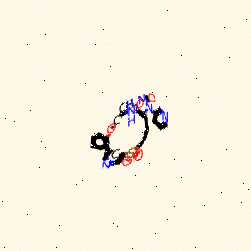 C[C@@H]1COc2ccccc2-c2cncc(c2)S(=O)(=O)CCCC[C@H](N(C(N)=O)c2cccnc2)C(=O)N1